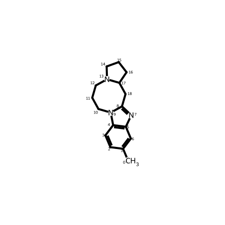 Cc1ccc2c(c1)nc1n2CCCN2CCCC2C1